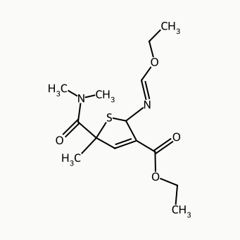 CCO/C=N/C1SC(C)(C(=O)N(C)C)C=C1C(=O)OCC